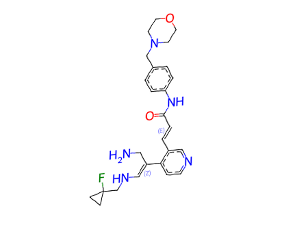 NC/C(=C\NCC1(F)CC1)c1ccncc1/C=C/C(=O)Nc1ccc(CN2CCOCC2)cc1